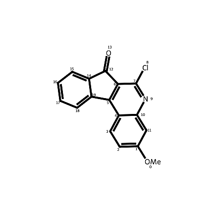 COc1ccc2c3c(c(Cl)nc2c1)C(=O)c1ccccc1-3